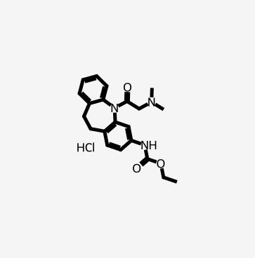 CCOC(=O)Nc1ccc2c(c1)N(C(=O)CN(C)C)c1ccccc1CC2.Cl